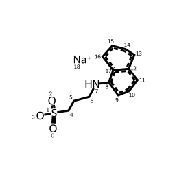 O=S(=O)([O-])CCCNc1cccc2ccccc12.[Na+]